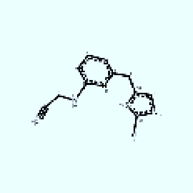 C#CCNc1cccc(Cc2cnc(Cl)s2)n1